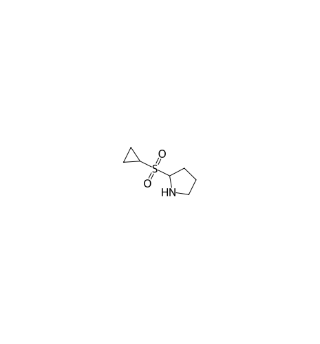 O=S(=O)(C1CC1)C1CCCN1